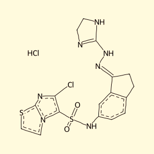 Cl.O=S(=O)(Nc1ccc2c(c1)C(=NNC1=NCCN1)CC2)c1c(Cl)nc2sccn12